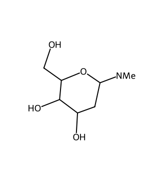 CNC1CC(O)C(O)C(CO)O1